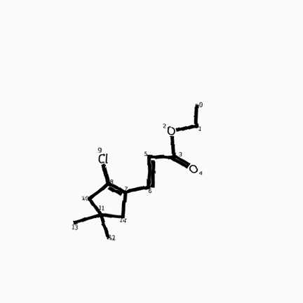 CCOC(=O)/C=C/C1=C(Cl)CC(C)(C)C1